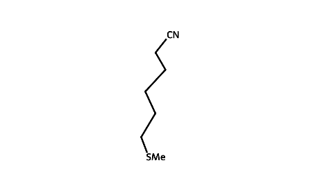 CSCCCCCC#N